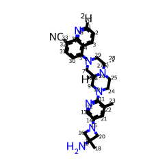 [2H]c1ccc2c(N3C[C@@H]4CN(c5ncc(N6CC(C)(N)C6)cc5C)CCN4[C@@H](C)C3)ccc(C#N)c2n1